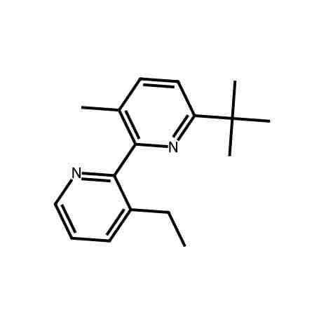 CCc1cccnc1-c1nc(C(C)(C)C)ccc1C